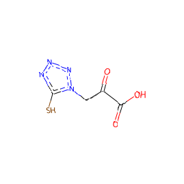 O=C(O)C(=O)Cn1nnnc1S